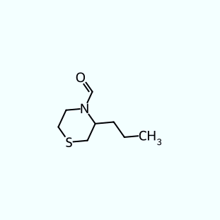 CCCC1CSCCN1C=O